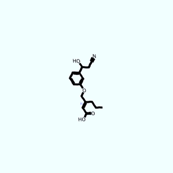 CCC/C(=C\C(=O)O)COc1cccc(C(O)CC#N)c1